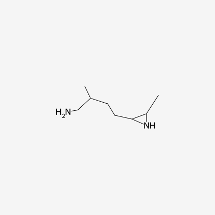 CC(CN)CCC1NC1C